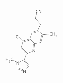 Cc1cc2nc(-c3cncn3C)cc(Cl)c2cc1CCC#N